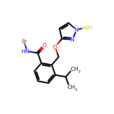 CC(C)c1cccc(C(=O)NBr)c1COc1ccn(S)n1